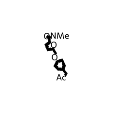 CNC(=O)c1ccc(COc2ccc(CC(C)=O)cc2)o1